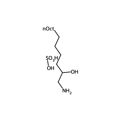 CCCCCCCCCCCCC(O)CN.O=S(=O)(O)O